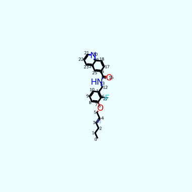 CCC/C=C/COc1cccc(CNC(=O)c2ccc3ncccc3c2)c1F